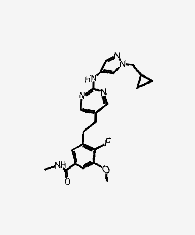 CNC(=O)c1cc(CCc2cnc(Nc3cnn(CC4CC4)c3)nc2)c(F)c(OC)c1